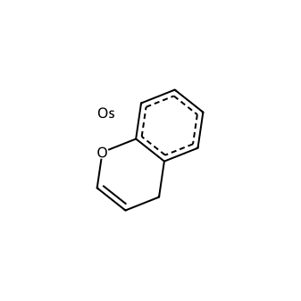 C1=COc2ccccc2C1.[Os]